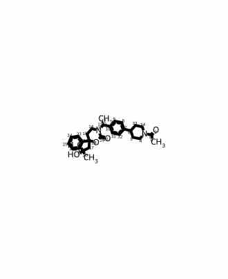 CC(=O)N1CCC(c2ccc([C@H](C)N3CCC(CC(C)(C)O)(c4ccccc4)OC3=O)cc2)CC1